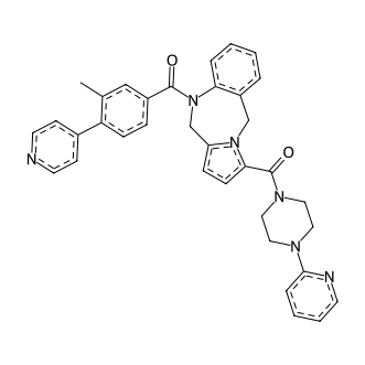 Cc1cc(C(=O)N2Cc3ccc(C(=O)N4CCN(c5ccccn5)CC4)n3Cc3ccccc32)ccc1-c1ccncc1